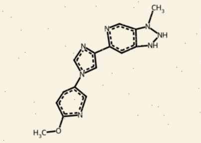 COc1ccc(-n2cnc(-c3cc4c(cn3)N(C)NN4)c2)cn1